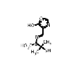 CC(C)(S)[C@H](N=Cc1ncoc1O)C(=O)O